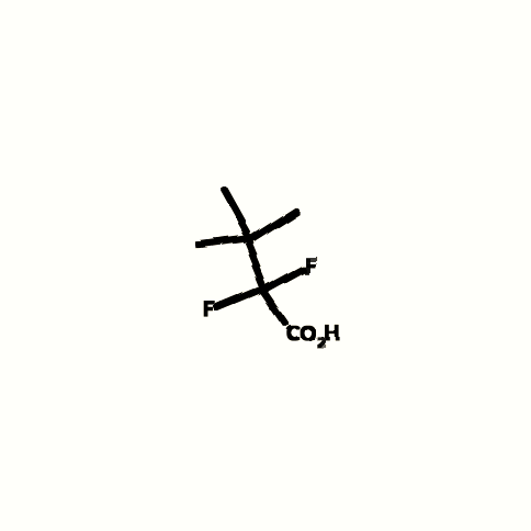 CC(C)(C)C(F)(F)C(=O)O